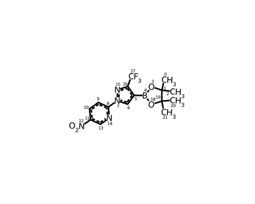 CC1(C)OB(c2cn(-c3ccc([N+](=O)[O-])cn3)nc2C(F)(F)F)OC1(C)C